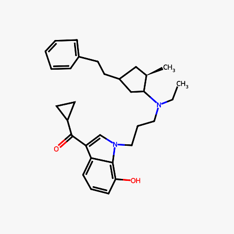 CCN(CCCn1cc(C(=O)C2CC2)c2cccc(O)c21)C1CC(CCc2ccccc2)C[C@H]1C